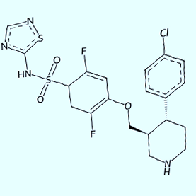 O=S(=O)(Nc1ncns1)C1CC(F)=C(OC[C@@H]2CNCC[C@H]2c2ccc(Cl)cc2)C=C1F